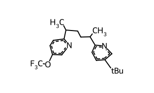 CC(CCC(C)c1ccc(C(C)(C)C)cn1)c1ccc(OC(F)(F)F)cn1